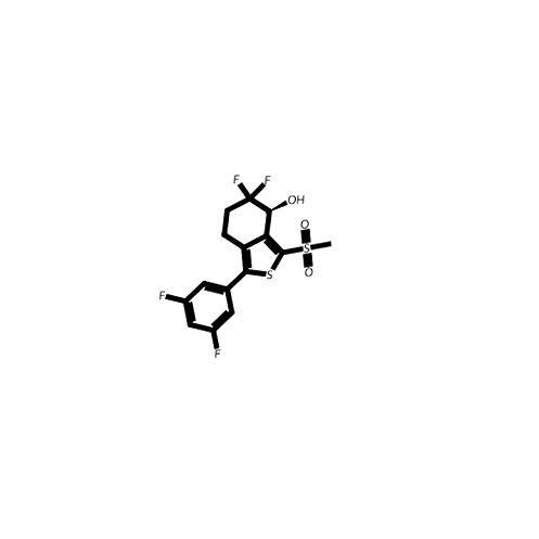 CS(=O)(=O)c1sc(-c2cc(F)cc(F)c2)c2c1[C@H](O)C(F)(F)CC2